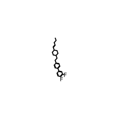 CCCC=CC1CCC(CCc2ccc(-c3ccc(F)c(F)c3)cc2)CC1